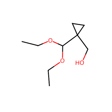 CCOC(OCC)C1(CO)CC1